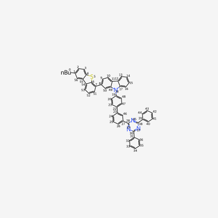 CCCCc1ccc2sc3c(-c4ccc5c6ccccc6n(-c6ccc(-c7cccc(-c8nc(-c9ccccc9)nc(-c9ccccc9)n8)c7)cc6)c5c4)cccc3c2c1